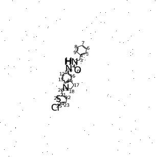 O=C(NCc1ccccc1)Nc1ccc2c(c1)CCN2Cc1ccc(Cl)s1